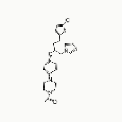 CC(=O)N1CCN(c2ccc(OC(CCc3ccc(Cl)s3)Cn3ccnc3)cc2)CC1